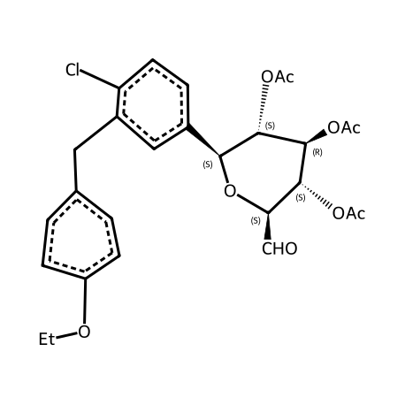 CCOc1ccc(Cc2cc([C@@H]3O[C@H](C=O)[C@@H](OC(C)=O)[C@H](OC(C)=O)[C@H]3OC(C)=O)ccc2Cl)cc1